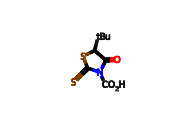 CC(C)(C)C1SC(=S)N(C(=O)O)C1=O